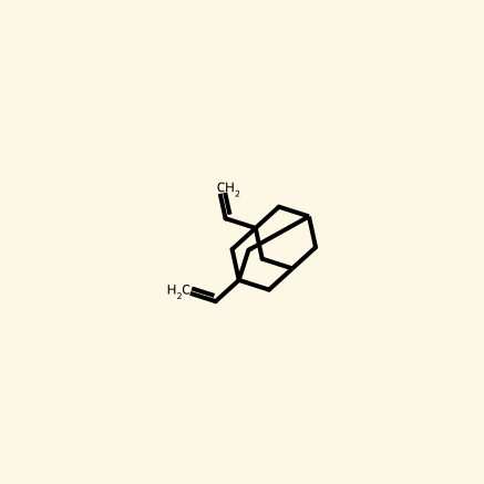 C=CC12CC3CC(C1)CC(C=C)(C3)C2